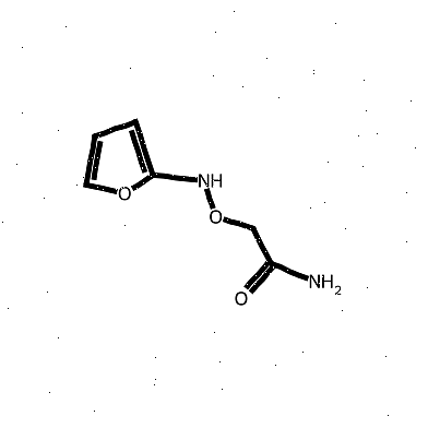 NC(=O)CONc1ccco1